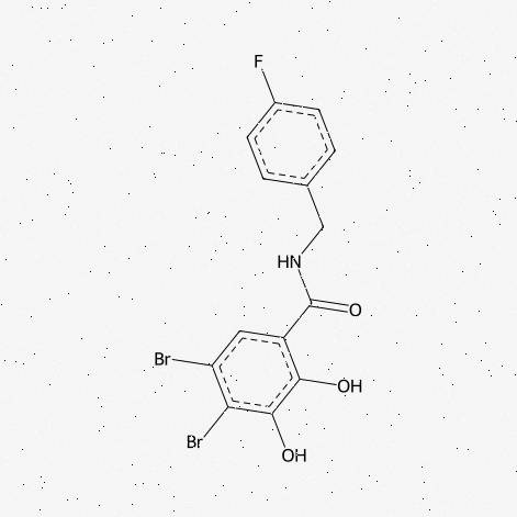 O=C(NCc1ccc(F)cc1)c1cc(Br)c(Br)c(O)c1O